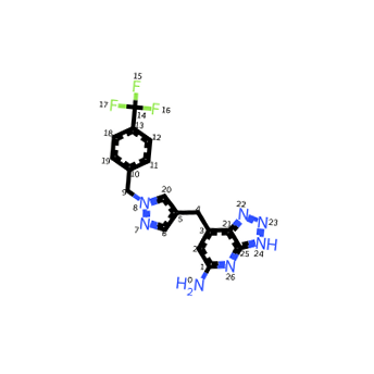 Nc1cc(Cc2cnn(Cc3ccc(C(F)(F)F)cc3)c2)c2nn[nH]c2n1